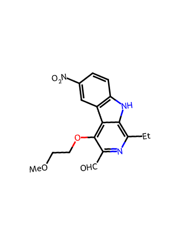 CCc1nc(C=O)c(OCCOC)c2c1[nH]c1ccc([N+](=O)[O-])cc12